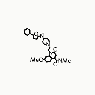 CNC(=O)c1cc(=O)n(CCN2CCC(N(C)c3ccc(-c4ccccc4)o3)CC2)c2cc(OC)ccc12